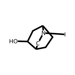 OC1CC2CCC1CN2I